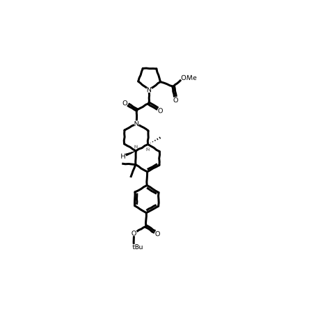 COC(=O)C1CCCN1C(=O)C(=O)N1CC[C@H]2C(C)(C)C(c3ccc(C(=O)OC(C)(C)C)cc3)=CC[C@]2(C)C1